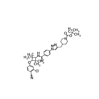 CC(C)(C)OC(=O)N1CCC(Cc2cn(-c3ccc(C(=O)NC4C(C)(C)C(Oc5ccc(C#N)c(Cl)c5)C4(C)C)cc3)nn2)CC1